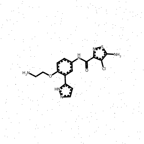 NCCOc1ccc(NC(=O)c2nsc(N)c2Cl)cc1-c1ccn[nH]1